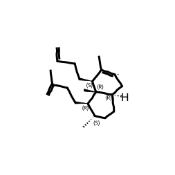 C=CCC[C@H]1C(C)=[C]C[C@H]2CC[C@H](C)[C@@H](CCC(=C)C)[C@@]21C